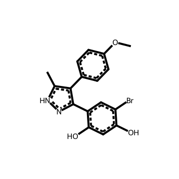 COc1ccc(-c2c(-c3cc(Br)c(O)cc3O)n[nH]c2C)cc1